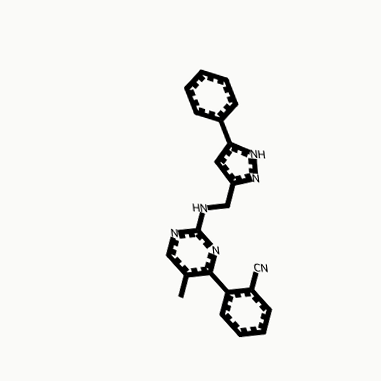 Cc1cnc(NCc2cc(-c3ccccc3)[nH]n2)nc1-c1ccccc1C#N